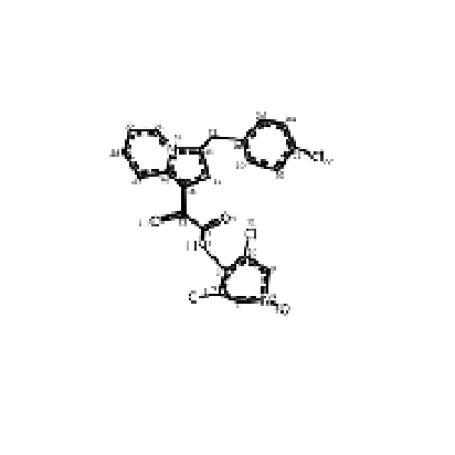 O=C(Nc1c(Cl)c[n+]([O-])cc1Cl)C(=O)c1cc(Cc2ccc(Cl)cc2)n2ccccc12